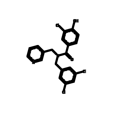 O=C(c1ccc(O)c(Cl)c1)N(Cc1cccnc1)Cc1cc(Cl)cc(Cl)c1